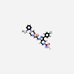 Cc1ccccc1N1CCN(CC(O)Cn2nc(-c3ccc(Cl)cc3)c3c2CCN(C(N)=O)C3)CC1